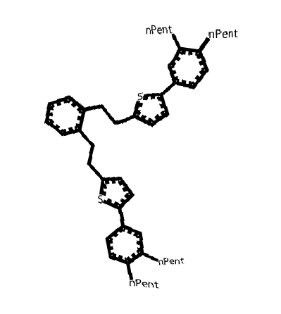 CCCCCc1ccc(-c2ccc(CCc3ccccc3CCc3ccc(-c4ccc(CCCCC)c(CCCCC)c4)s3)s2)cc1CCCCC